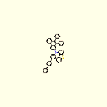 c1ccc(-c2ccc(-c3ccc(N(c4ccc5c(c4)c(-c4ccccc4)c(-c4ccccc4)c4ccccc45)c4cccc5sc6ccccc6c45)cc3)cc2)cc1